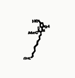 COC(=O)C(CCCCCCCCCC=O)NC1CC(CO)CC1O